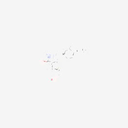 COc1ccc(Cc2sc3c(c2C(N)=O)CCOC3)cc1